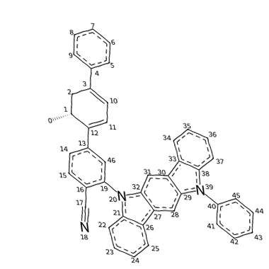 C[C@@H]1CC(c2ccccc2)=CC=C1c1ccc(C#N)c(-n2c3ccccc3c3cc4c(cc32)c2ccccc2n4-c2ccccc2)c1